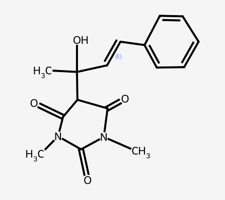 CN1C(=O)C(C(C)(O)/C=C/c2ccccc2)C(=O)N(C)C1=O